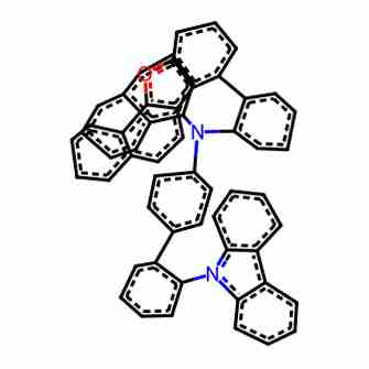 c1ccc(N(c2ccc(-c3ccccc3-n3c4ccccc4c4ccccc43)cc2)c2cccc3ccccc23)c(-c2cccc3oc4c5ccccc5ccc4c23)c1